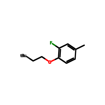 Cc1ccc(OCCC(C)(C)C)c(F)c1